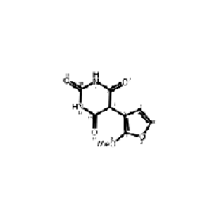 COc1occc1C1C(=O)NC(=O)NC1=O